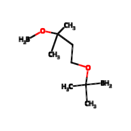 BOC(C)(C)CCOC(B)(C)C